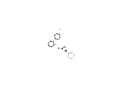 CCCCN1CCC(c2nc(C(=O)Nc3ccccc3-c3ccc(OC(F)(F)F)cc3)cs2)CC1